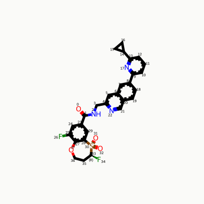 O=C(NCc1cc2cc(-c3cccc(C4CC4)n3)ccc2cn1)c1cc(F)c2c(c1)S(=O)(=O)[C@@H](F)CCO2